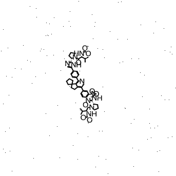 COC(=O)N[C@H](C(=O)N1CCC[C@H]1C1=Nc2ccc(-c3cnc(-c4ccc(-c5cnc([C@@H]6CCCN6C(=O)[C@@H](NC(=O)OC)C(C)C)[nH]5)cc4)c4c3CCC43CCCC3)cc2S(=O)(=O)N1)C(C)C